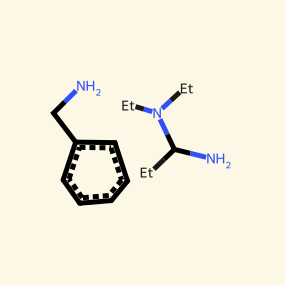 CCC(N)N(CC)CC.NCc1ccccc1